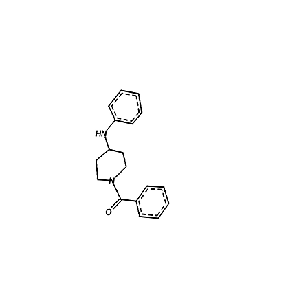 O=C(c1ccccc1)N1CCC(Nc2ccccc2)CC1